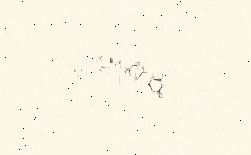 CCN(C[C@@H](OC)C(F)(F)F)C(=O)Nc1cnc(Oc2ccc(F)cc2F)cn1